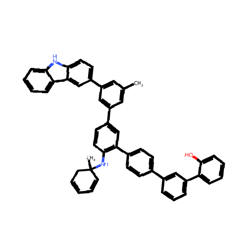 Cc1cc(-c2ccc(NC3(C)C=CC=CC3)c(-c3ccc(-c4cccc(-c5ccccc5O)c4)cc3)c2)cc(-c2ccc3[nH]c4ccccc4c3c2)c1